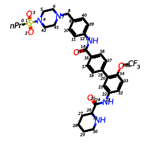 CCCS(=O)(=O)N1CCN(Cc2ccc(NC(=O)c3ccc(-c4cc(NC(=O)C5CCCCN5)ccc4OC(F)(F)F)cc3)cc2)CC1